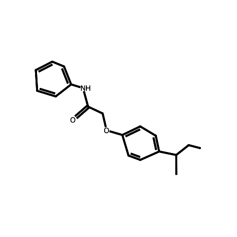 CCC(C)c1ccc(OCC(=O)Nc2ccccc2)cc1